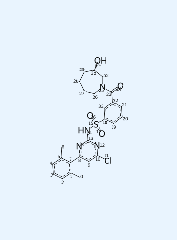 Cc1cccc(C)c1-c1cc(Cl)nc(NS(=O)(=O)c2cccc(C(=O)N3CCCC[C@@H](O)C3)c2)n1